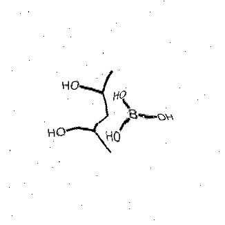 CC(O)CC(C)O.OB(O)O